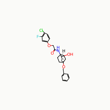 O=C(COc1ccc(Cl)c(F)c1)NC12CCC(OCc3ccccc3)(CC1)C[C@@H]2O